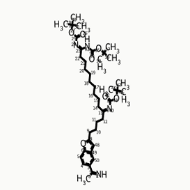 CC(=N)c1ccc2oc(CCCC/C(CCCCCCCCC/C(=N/C(=O)OC(C)(C)C)NC(=O)OC(C)(C)C)=N/C(=O)OC(C)(C)C)cc2c1